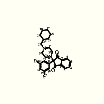 O=C1c2ccccc2C(=O)C1(c1cc(F)cc(F)c1)N1CCN(CC2CCCCC2)CC1